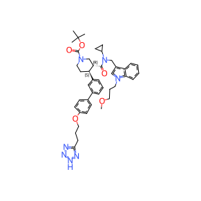 COCCCn1cc(CN(C(=O)[C@H]2CN(C(=O)OC(C)(C)C)CC[C@@H]2c2cccc(-c3ccc(OCCCc4nn[nH]n4)cc3)c2)C2CC2)c2ccccc21